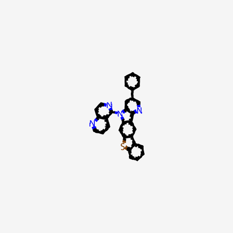 c1ccc(-c2cnc3c4cc5c(cc4n(-c4nccc6ncccc46)c3c2)sc2ccccc25)cc1